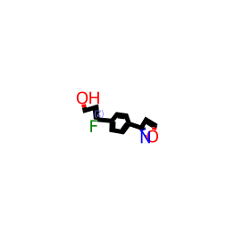 OC/C=C(\F)c1ccc(-c2ccon2)cc1